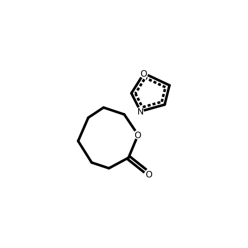 O=C1CCCCCCO1.c1cocn1